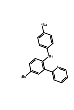 CC(C)(C)c1ccc(Nc2ccc(C(C)(C)C)cc2-c2ccccn2)cc1